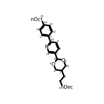 CCCCCCCCCCCCC1COC(c2ccc(-c3ccc(CCCCCCCC)cc3)nc2)OC1